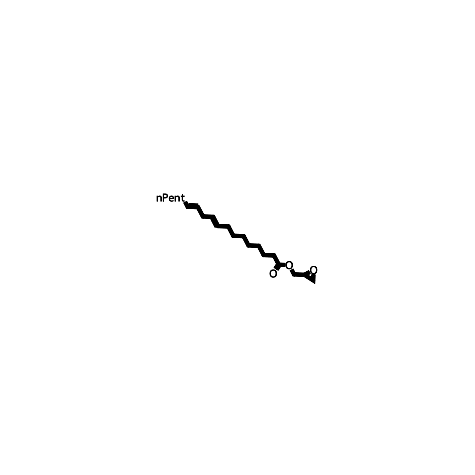 CCCCCC=CCC=CCCCCCCCC(=O)OCC1CO1